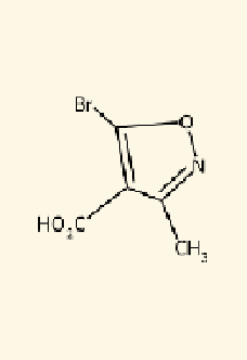 Cc1noc(Br)c1C(=O)O